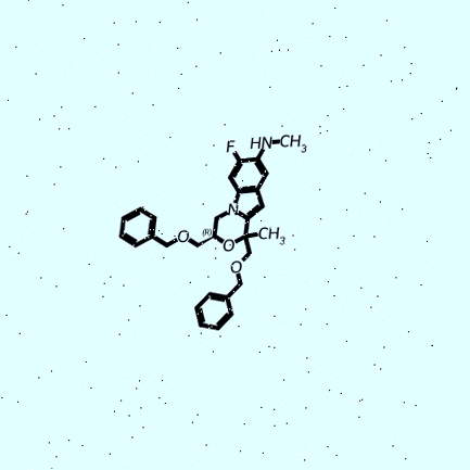 CNc1cc2cc3n(c2cc1F)C[C@H](COCc1ccccc1)OC3(C)COCc1ccccc1